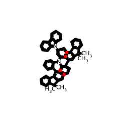 CC1(C)c2ccccc2-c2ccc(-c3ccccc3N(c3cccc(-n4c5ccccc5c5ccccc54)c3)c3ccccc3-c3cccc4c3-c3ccccc3C4(C)C)cc21